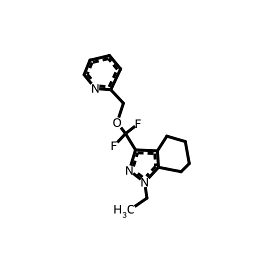 CCn1nc(C(F)(F)OCc2ccccn2)c2c1CCCC2